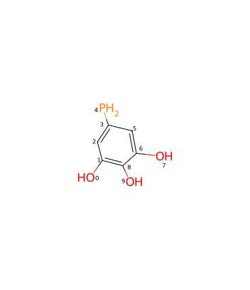 Oc1cc(P)cc(O)c1O